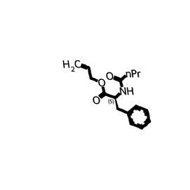 C=CCOC(=O)[C@H](Cc1ccccc1)NC(=O)CCC